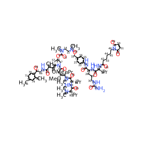 CCC[C@@H]([C@@H](CC(=O)N1C[C@@H](OC(=O)N(C)CCN(C)OCc2ccc(NC(=O)[C@H](CCCNC(N)=O)NC(=O)[C@@H](NC(=O)CCCCCN3C(=O)C=CC3=O)C(C)C)cc2)C[C@H]1[C@H](OC)[C@@H](C)C(=O)NCC(=O)c1ccc(C)cc1C)OC)N(C)C(=O)[C@@H](NC(=O)[C@H](C(C)C)N(C)C)C(C)C